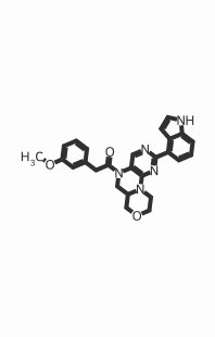 COc1cccc(CC(=O)N2CC3COCCN3c3nc(-c4cccc5[nH]ccc45)ncc32)c1